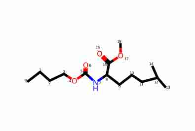 CCCCOC(=O)NC(CCCC(C)C)C(=O)OC